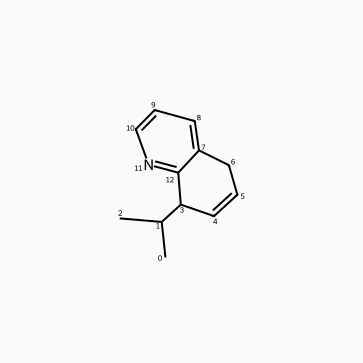 CC(C)C1C=CCc2cccnc21